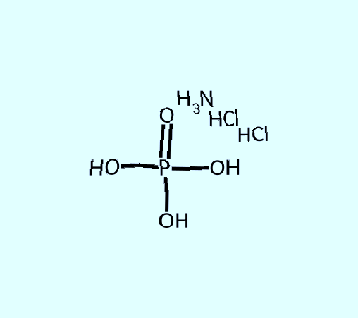 Cl.Cl.N.O=P(O)(O)O